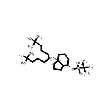 CC(C)(O)CCCC(CCCC(C)(C)O)[C@H]1CCC2[C@@H](O[Si](C)(C)C(C)(C)C)CCC[C@@]21C